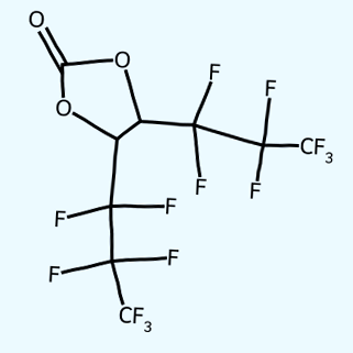 O=C1OC(C(F)(F)C(F)(F)C(F)(F)F)C(C(F)(F)C(F)(F)C(F)(F)F)O1